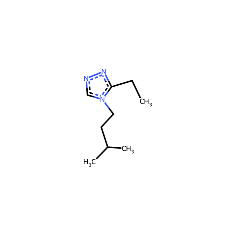 CCc1nncn1CCC(C)C